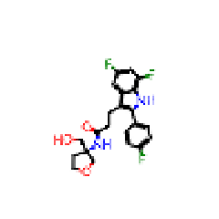 O=C(CCc1c(-c2ccc(F)cc2)[nH]c2c(F)cc(F)cc12)NC1(CO)CCOC1